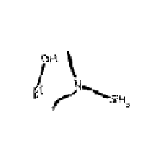 CCO.CN(C)[SiH3]